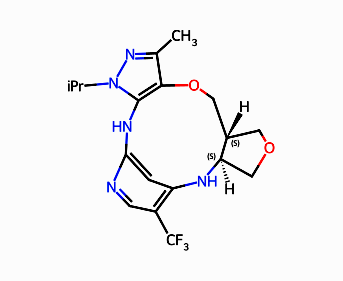 Cc1nn(C(C)C)c2c1OC[C@@H]1COC[C@H]1Nc1cc(ncc1C(F)(F)F)N2